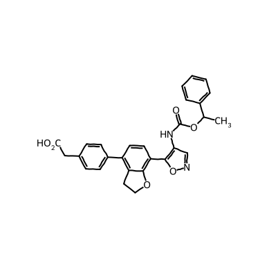 CC(OC(=O)Nc1cnoc1-c1ccc(-c2ccc(CC(=O)O)cc2)c2c1OCC2)c1ccccc1